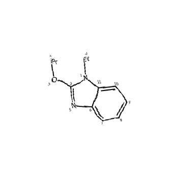 CCn1c(OC(C)C)nc2ccccc21